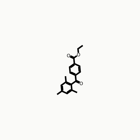 CCOC(=O)c1ccc(C(=O)c2c(C)cc(C)cc2C)cc1